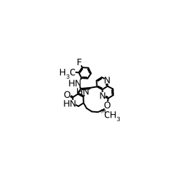 Cc1c(F)cccc1Nc1c2[nH]c3c1C(=O)NCC3CCC[C@@H](C)Oc1ccc3nccc-2c3n1